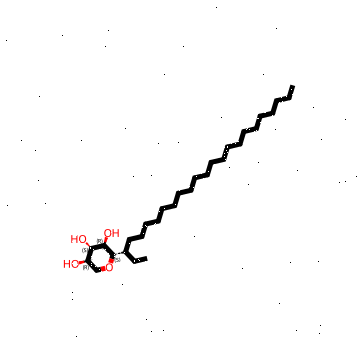 CCCCCCCCCCCCCCCCCCCCCC(CC)[C@@H]1OC[C@@H](O)[C@H](O)[C@H]1O